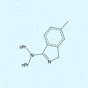 CCCN(CCC)C1=NCc2cc(C)ccc21